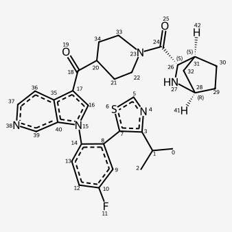 CC(C)c1ncsc1-c1cc(F)ccc1-n1cc(C(=O)C2CCN(C(=O)[C@H]3N[C@@H]4CC[C@H]3C4)CC2)c2ccncc21